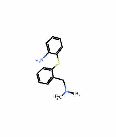 CN([11CH3])Cc1ccccc1Sc1ccccc1N